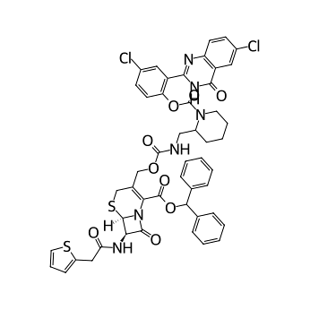 O=C(Cc1cccs1)N[C@@H]1C(=O)N2C(C(=O)OC(c3ccccc3)c3ccccc3)=C(COC(=O)NCC3CCCCN3C(=O)Oc3ccc(Cl)cc3-c3nc4ccc(Cl)cc4c(=O)[nH]3)CS[C@H]12